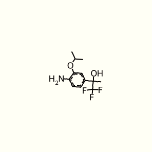 CC(C)Oc1cc(C(C)(O)C(F)(F)F)ccc1N